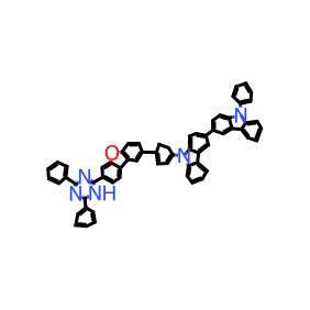 C1=C(c2ccc3oc4cc(C5=NC(c6ccccc6)=NC(c6ccccc6)N5)ccc4c3c2)CCC(n2c3ccccc3c3cc(-c4ccc5c(c4)c4ccccc4n5-c4ccccc4)ccc32)=C1